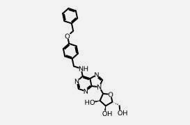 OC[C@H]1OC(n2cnc3c(NCc4ccc(OCc5ccccc5)cc4)ncnc32)[C@H](O)[C@@H]1O